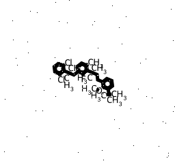 COc1c(CCC(C)(C)c2c(C)ccc(CC(C)(C)c3c(Cl)cccc3Cl)c2F)cccc1C(C)(C)C